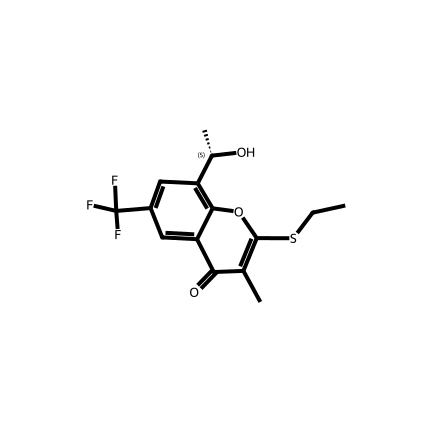 CCSc1oc2c([C@H](C)O)cc(C(F)(F)F)cc2c(=O)c1C